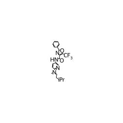 CC(C)CCN(C)c1ccc(NC(=O)c2nc(-c3ccccc3)oc2C(F)(F)F)cn1